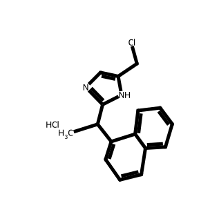 CC(c1ncc(CCl)[nH]1)c1cccc2ccccc12.Cl